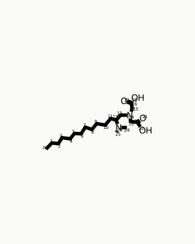 CCCCCCCCCCCCC(CN(CC(=O)O)CC(=O)O)N(C)C